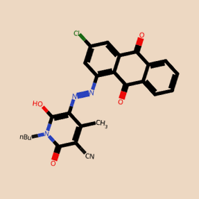 CCCCn1c(O)c(/N=N/c2cc(Cl)cc3c2C(=O)c2ccccc2C3=O)c(C)c(C#N)c1=O